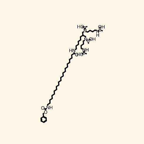 CB(O)NCCCCN(CC(CCCCCCNC(=O)CCCCCCCCCCCCCCCCCCCCCCCNC(=O)OCc1ccccc1)CN(CCCCNB(C)O)B(C)O)B(C)O